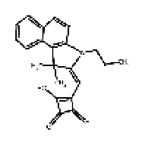 CCCN1/C(=C/c2c(O)c(=O)c2=O)C(C)(C)c2c1ccc1ccccc21